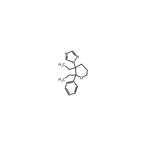 CCC1(c2ccccc2)OCCCC1(CC)n1cncn1